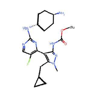 Cn1nc(NC(=O)OC(C)(C)C)c(-c2nc(N[C@H]3CC[C@H](N)CC3)ncc2F)c1CC1CC1